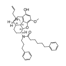 C=CCN1CC[C@]23c4c5c(O)cc(OC)c4O[C@H]2[C@H](N(CCCc2ccccc2)C(=O)CCCCCc2ccccc2)CC[C@H]3[C@H]1C5